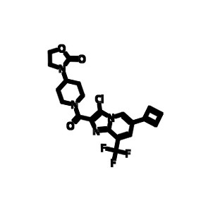 O=C(c1nc2c(C(F)(F)F)cc(C3=CC=C3)cn2c1Cl)N1CCC(N2CCOC2=O)CC1